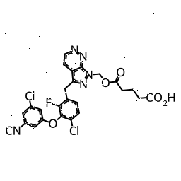 [C-]#[N+]c1cc(Cl)cc(Oc2c(Cl)ccc(Cc3nn(COC(=O)CCCC(=O)O)c4nnccc34)c2F)c1